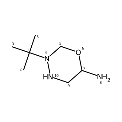 CC(C)(C)N1COC(N)CN1